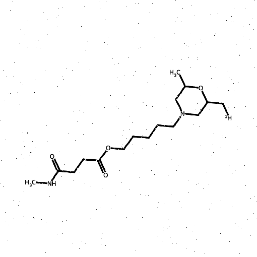 [2H]CC1CN(CCCCCOC(=O)CCC(=O)NC)CC(C)O1